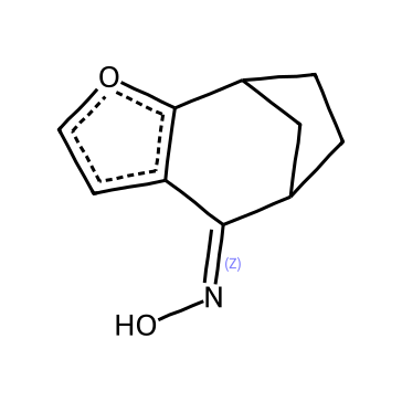 O/N=C1\c2ccoc2C2CCC1C2